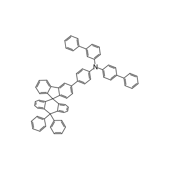 c1ccc(-c2ccc(N(c3ccc(-c4ccc5c(c4)-c4ccccc4C54c5ccccc5C(c5ccccc5)(c5ccccc5)c5ccccc54)cc3)c3cccc(-c4ccccc4)c3)cc2)cc1